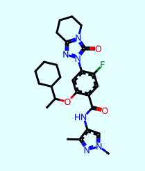 Cc1nn(C)cc1NC(=O)c1cc(F)c(-n2nc3n(c2=O)CCCC3)cc1OC(C)C1CCCCC1